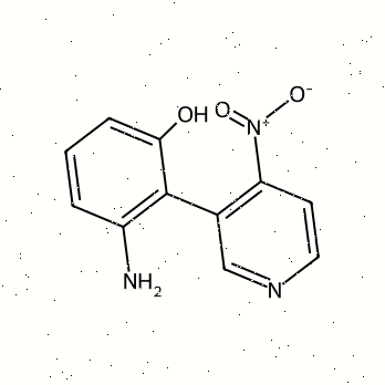 Nc1cccc(O)c1-c1cnccc1[N+](=O)[O-]